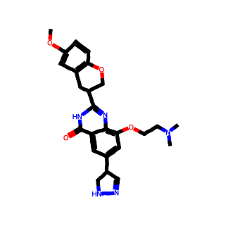 COc1ccc2c(c1)CC(c1nc3c(OCCN(C)C)cc(C4C=NNC4)cc3c(=O)[nH]1)CO2